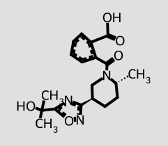 C[C@@H]1CC[C@@H](c2noc(C(C)(C)O)n2)CN1C(=O)c1ccccc1C(=O)O